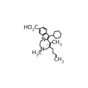 C=CCC/C1=C(\C)c2c(C3CCCCC3)c3ccc(C(=O)O)cc3n2CCN(C)C1